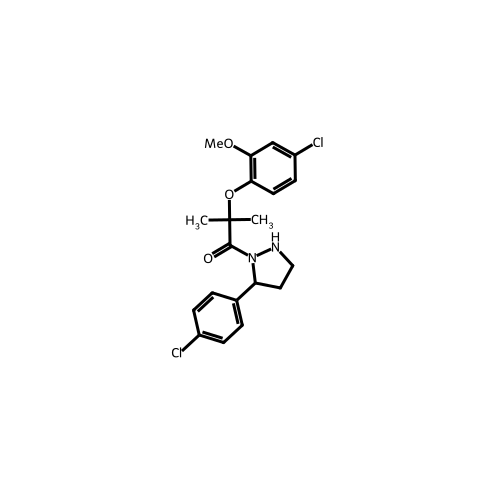 COc1cc(Cl)ccc1OC(C)(C)C(=O)N1NCCC1c1ccc(Cl)cc1